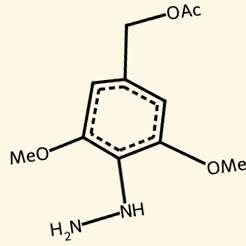 COc1cc(COC(C)=O)cc(OC)c1NN